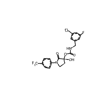 O=C(NCc1cc(F)cc(Cl)c1)O[C@]1(O)CCN(c2ccc(C(F)(F)F)cc2)C1=O